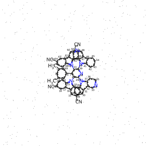 Cc1cc(C)cc(-c2c(-n3c4ccc(C#N)cc4c4cc(C#N)ccc43)c(-n3c4ccccc4c4cnccc43)nc(-n3c4ccccc4c4cnccc43)c2-n2c3ccc(C#N)cc3c3cc(C#N)ccc32)c1